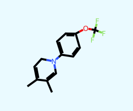 CC1=CCN(c2ccc(OC(F)(F)F)cc2)C=C1C